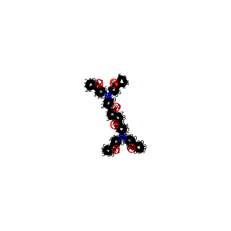 c1ccc2c(c1)oc1cc(N(c3ccc4c(c3)oc3ccccc34)c3ccc4c(c3)oc3c4ccc4c3ccc3c5ccc(N(c6ccc7c(c6)oc6ccccc67)c6ccc7c(c6)oc6ccccc67)cc5oc34)ccc12